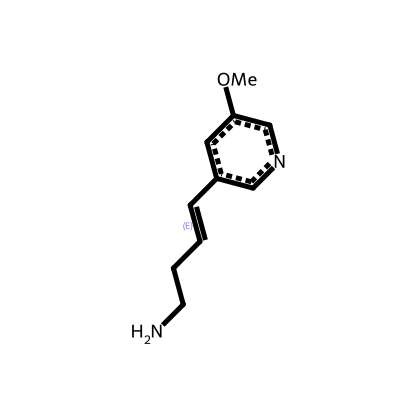 COc1cncc(/C=C/CCN)c1